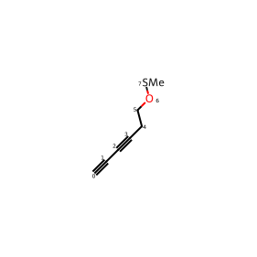 C#CC#CCCOSC